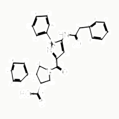 O=C(Cc1ccccc1)Nc1cc(C(=O)N2C[C@@H](C(=O)O)[C@H](c3ccccc3)C2)nn1-c1ccccc1